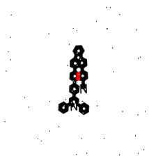 N#Cc1ccc(-c2ccc3c4c(ccc(-c5ccc(-c6ccc(-c7cc(-c8ccccc8)nc(-c8ccccc8)c7)cc6)cc5)c24)-c2ccccc2-3)cc1